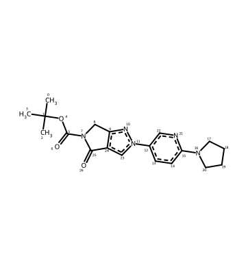 CC(C)(C)OC(=O)N1Cc2nn(-c3ccc(N4CCCC4)nc3)cc2C1=O